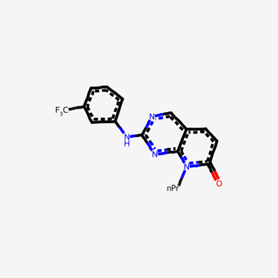 CCCn1c(=O)ccc2cnc(Nc3cccc(C(F)(F)F)c3)nc21